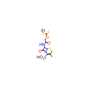 CCSC(=S)OCC(=O)NC1C(=O)N2C(C(=O)O)=C(C)CSC12